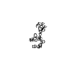 CC(C)(CO[Si](C)(C)C(C)(C)C)C(=O)SCCOP(=O)(Cc1ccc2sc(C(=O)Oc3c(F)c(F)c(F)c(F)c3F)cc2c1)OCCSC(=O)C(C)(C)CO[Si](C)(C)C(C)(C)C